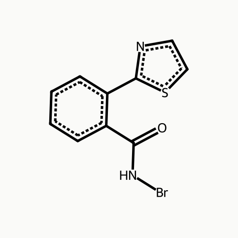 O=C(NBr)c1ccccc1-c1nccs1